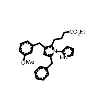 CCOC(=O)CCCc1c(Cc2cccc(OC)c2)cc(Cc2ccccc2)n1-c1ccc[nH]1